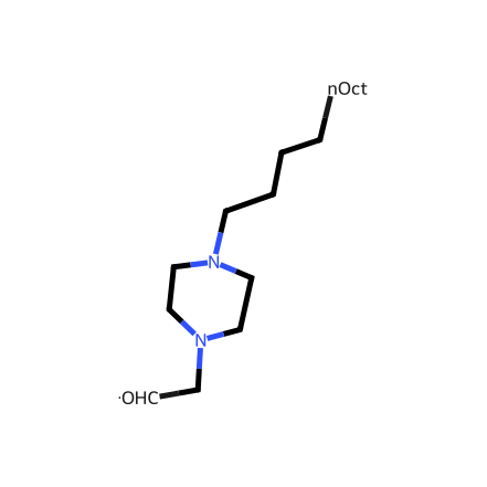 CCCCCCCCCCCCN1CCN(C[C]=O)CC1